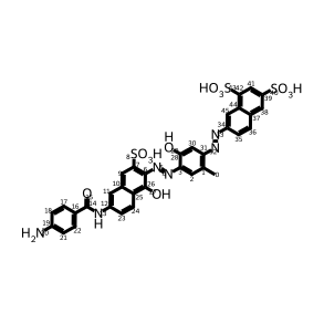 Cc1cc(N=Nc2c(S(=O)(=O)O)cc3cc(NC(=O)c4ccc(N)cc4)ccc3c2O)c(O)cc1N=Nc1ccc2cc(S(=O)(=O)O)cc(S(=O)(=O)O)c2c1